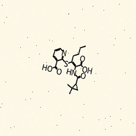 CCCC/C(Sc1ncccc1C(=O)O)=C(/NC(=O)C1CC1(C)C)C(=O)O